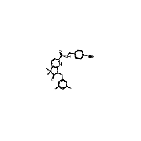 CC1(C)C(=O)N(Cc2cc(F)cc(F)c2)c2nc(C(=O)NCc3ccc(C#N)cc3)ccc21